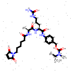 CC(C)[C@H](NC(=O)CCCCCN1C(=O)C=CC1=O)C(=O)N[C@@H](CCCNC(N)=O)C(=O)Nc1ccc(COC(=O)N(C)[C@H](C(=O)O)C(C)C)cc1